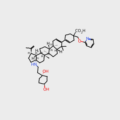 C=C(C)[C@@H]1CC[C@]2(NCC[C@]3(O)CC[C@H](O)CC3)CC[C@]3(C)[C@H](CC[C@@H]4[C@@]5(C)CC=C(C6=CCC(COc7ccccn7)(C(=O)O)CC6)C(C)(C)[C@@H]5CC[C@]43C)[C@@H]12